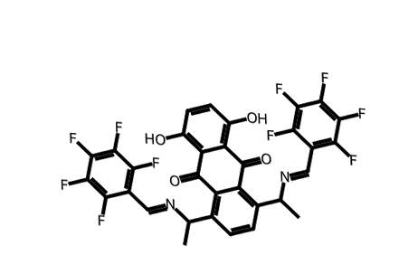 CC(N=Cc1c(F)c(F)c(F)c(F)c1F)c1ccc(C(C)N=Cc2c(F)c(F)c(F)c(F)c2F)c2c1C(=O)c1c(O)ccc(O)c1C2=O